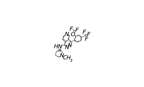 CN1CCC[C@@H](Nc2nnc(-c3ccc(C(F)(F)F)cc3OC(F)F)c3cnccc23)C1